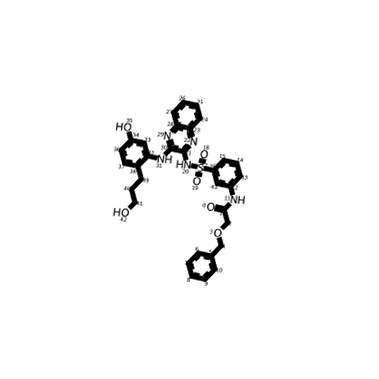 O=C(COCc1ccccc1)Nc1cccc(S(=O)(=O)Nc2nc3ccccc3nc2Nc2cc(O)ccc2CCCO)c1